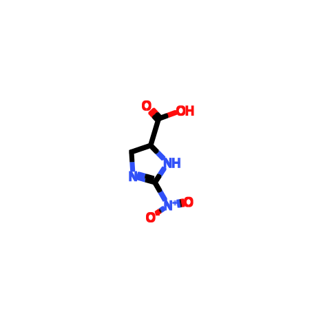 O=C(O)C1CN=C([N+](=O)[O-])N1